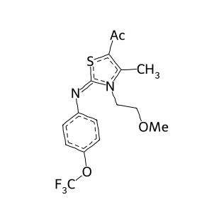 COCCn1c(C)c(C(C)=O)sc1=Nc1ccc(OC(F)(F)F)cc1